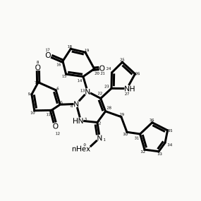 CCCCCCN=C1NN(C2=CC(=O)C=CC2=O)N(C2=CC(=O)C=CC2=O)C(c2ccc[nH]2)=C1CCc1ccccc1